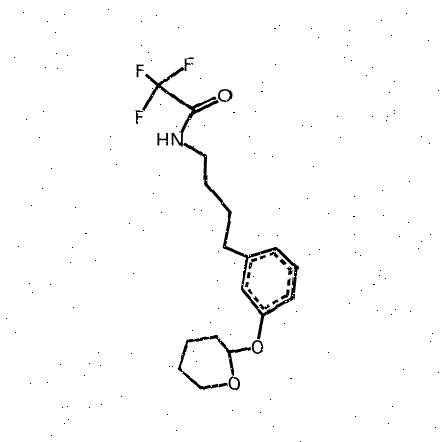 O=C(NCCCCc1cccc(OC2CCCCO2)c1)C(F)(F)F